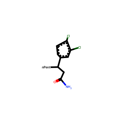 CCCCCC(CC(N)=O)c1ccc(Cl)c(Cl)c1